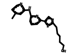 Cc1ccnc(Nc2cccc(-c3cnc(CCCCCO)s3)n2)c1